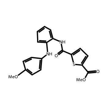 COC(=O)c1ccc(C(=O)Nc2ccccc2Nc2ccc(OC)cc2)s1